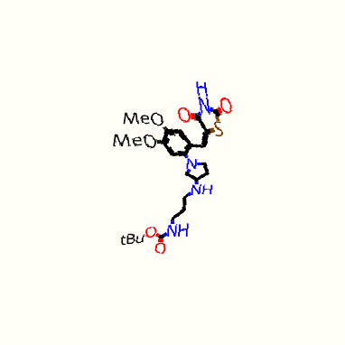 COc1cc(C=C2SC(=O)NC2=O)c(N2CCC(NCCCNC(=O)OC(C)(C)C)C2)cc1OC